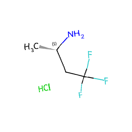 C[C@H](N)CC(F)(F)F.Cl